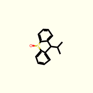 CC(C)C1c2ccccc2[S+]([O-])c2ccccc21